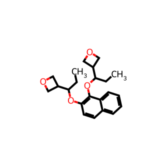 CCC(Oc1ccc2ccccc2c1OC(CC)C1COC1)C1COC1